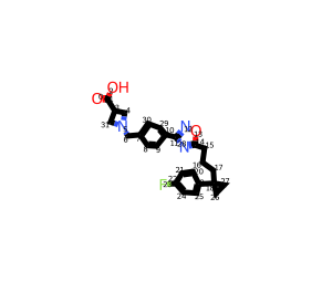 O=C(O)C1CN(Cc2ccc(-c3noc(CCCC4(c5ccc(F)cc5)CC4)n3)cc2)C1